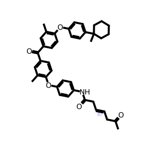 CC(=O)C/C=C/CC(=O)Nc1ccc(Oc2ccc(C(=O)c3ccc(Oc4ccc(C5(C)CCCCC5)cc4)c(C)c3)cc2C)cc1